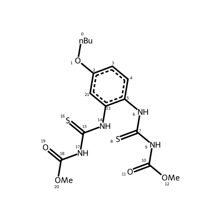 CCCCOc1ccc(NC(=S)NC(=O)OC)c(NC(=S)NC(=O)OC)c1